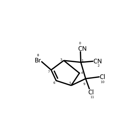 N#CC1(C#N)C2CC(C=C2Br)C1(Cl)Cl